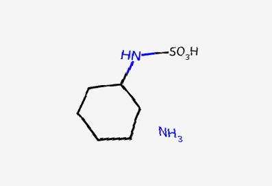 N.O=S(=O)(O)NC1CCCCC1